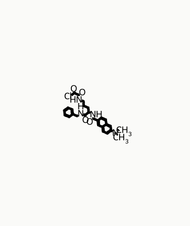 CN(C)c1ccc2cc(C(=O)NC(CCCNC(=O)C(=O)Cl)C(=O)NCc3ccccc3)ccc2c1